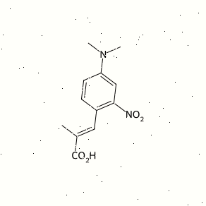 CC(=Cc1ccc(N(C)C)cc1[N+](=O)[O-])C(=O)O